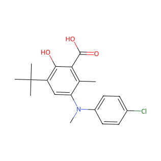 Cc1c(N(C)c2ccc(Cl)cc2)cc(C(C)(C)C)c(O)c1C(=O)O